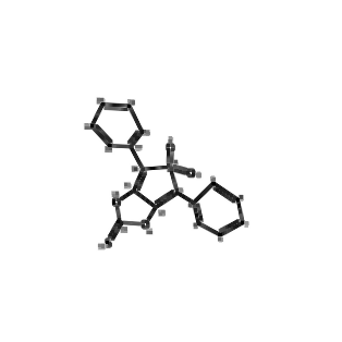 O=S1(=O)C(c2ccccc2)=c2oc(=S)oc2=C1c1ccccc1